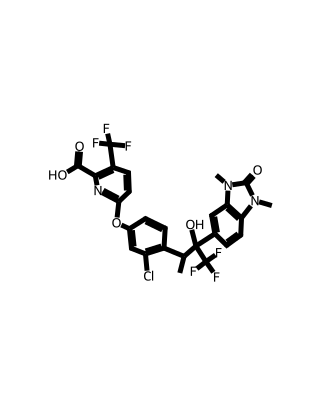 CC(c1ccc(Oc2ccc(C(F)(F)F)c(C(=O)O)n2)cc1Cl)C(O)(c1ccc2c(c1)n(C)c(=O)n2C)C(F)(F)F